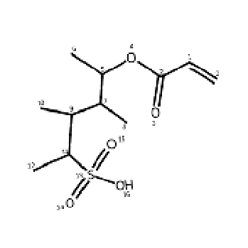 C=CC(=O)OC(C)C(C)C(C)C(C)S(=O)(=O)O